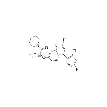 C[C@@H](Oc1ccc2c(-c3ccc(F)cc3Cl)cc(Cl)nc2c1)C(=O)N1CCCCC1